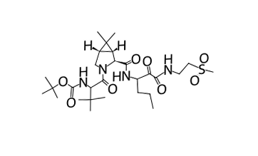 CCCC(NC(=O)[C@@H]1[C@@H]2[C@H](CN1C(=O)C(NC(=O)OC(C)(C)C)C(C)(C)C)C2(C)C)C(=O)C(=O)NCCS(C)(=O)=O